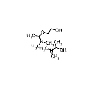 CC(O)N(C)C.CC(OCCO)N(C)C